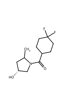 CC1C[C@@H](O)CN1C(=O)C1CCC(F)(F)CC1